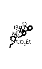 C=CCN1CCc2nc(CCC)n(Cc3ccc(-c4ccccc4C(=O)OC(C)(C)C)cc3)c2C1C(=O)OCC